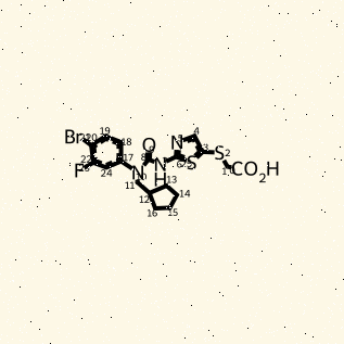 O=C(O)CSc1cnc(NC(=O)N(CC2CCCC2)c2ccc(Br)c(F)c2)s1